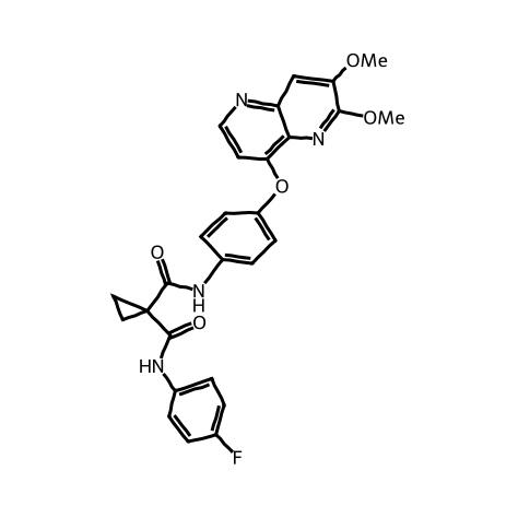 COc1cc2nccc(Oc3ccc(NC(=O)C4(C(=O)Nc5ccc(F)cc5)CC4)cc3)c2nc1OC